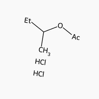 CCC(C)OC(C)=O.Cl.Cl